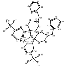 CN(C1(c2cccc(C(F)(F)F)c2)CCN(Cc2ccccc2)CC1)C1(c2cccc(C(F)(F)F)c2)CCN(Cc2ccccc2)CC1